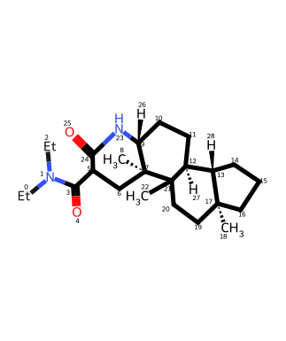 CCN(CC)C(=O)C1C[C@@]2(C)[C@@H](CC[C@H]3[C@@H]4CCC[C@@]4(C)CCC32C)NC1=O